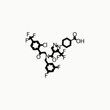 O=C(CN(Cc1cc(F)cc(F)c1)C(=O)c1cnn([C@H]2CC[C@H](C(=O)O)CC2)c1C(F)(F)F)c1ccc(C(F)(F)F)cc1Cl